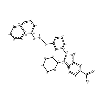 O=C(O)c1ccc2c(c1)nc(-c1cccc(CNCc3cccc4ccccc34)c1)n2C1CCCCC1